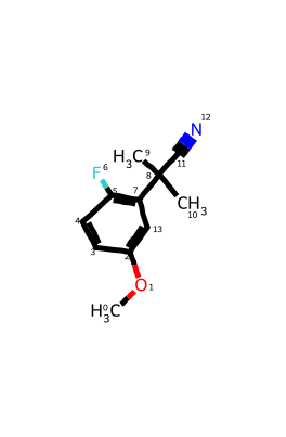 COc1ccc(F)c(C(C)(C)C#N)c1